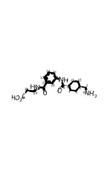 NC[C@H]1CC[C@H](C(=O)Nc2cccc(C(=O)NCCC(=O)O)c2)CC1